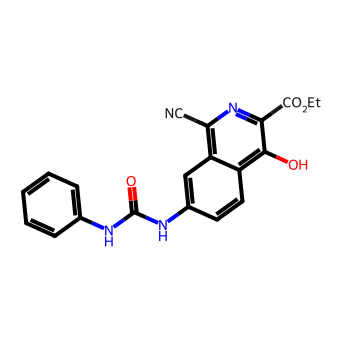 CCOC(=O)c1nc(C#N)c2cc(NC(=O)Nc3ccccc3)ccc2c1O